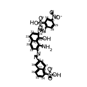 Nc1c(N=Nc2ccc3c(S(=O)(=O)O)cccc3c2)ccc2ccc(N=Nc3ccc([N+](=O)[O-])cc3S(=O)(=O)O)c(O)c12